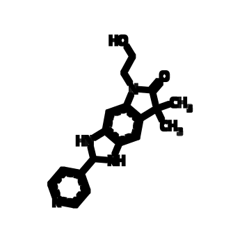 CC1(C)C(=O)N(CCO)c2cc3c(cc21)NC(c1ccncc1)N3